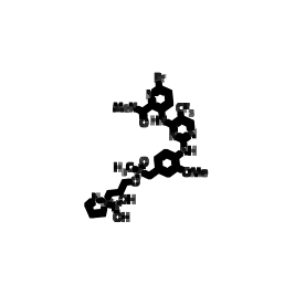 CNC(=O)c1nc(Br)ccc1Nc1nc(Nc2ccc(CP(C)(=O)OCCC[N+]3(B(O)O)C=CC=N3)cc2OC)ncc1C(F)(F)F